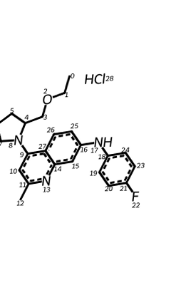 CCOCC1CCCN1c1cc(C)nc2cc(Nc3ccc(F)cc3)ccc12.Cl